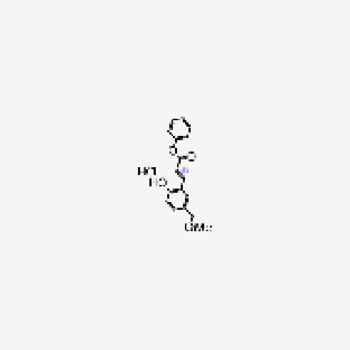 COCc1ccc(O)c(/C=C/C(=O)Oc2ccccc2)c1.Cl